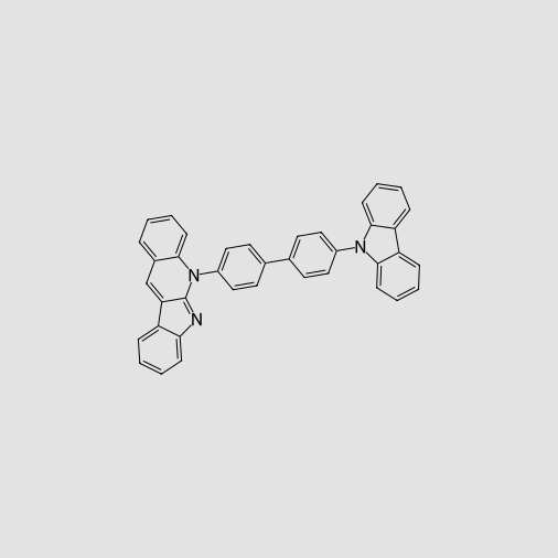 c1ccc2c(c1)cc1c3ccccc3nc-1n2-c1ccc(-c2ccc(-n3c4ccccc4c4ccccc43)cc2)cc1